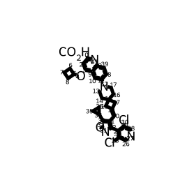 O=C(O)c1cc(OC2CCC2)c2cc(N3CCC4(CC3)CC(=Cc3c(-c5c(Cl)cncc5Cl)noc3C3CC3)C4)ccc2n1